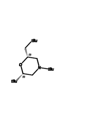 CC(C)(C)C[C@@H]1CN(C(C)(C)C)C[C@H](C(C)(C)C)O1